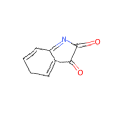 O=C1N=C2C=CCC=C2C1=O